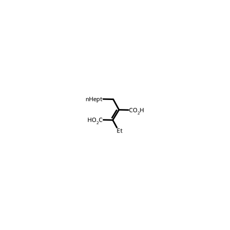 CCCCCCCCC(C(=O)O)=C(CC)C(=O)O